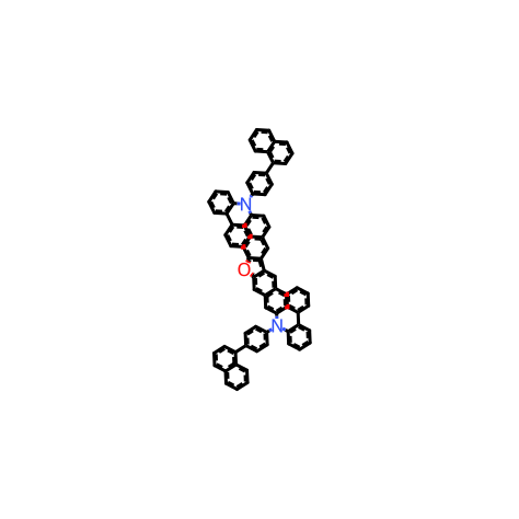 c1ccc(-c2ccccc2N(c2ccc(-c3cccc4ccccc34)cc2)c2ccc3cc4c(cc3c2)oc2cc3cc(N(c5ccc(-c6cccc7ccccc67)cc5)c5ccccc5-c5ccccc5)ccc3cc24)cc1